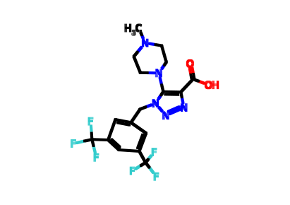 CN1CCN(c2c(C(=O)O)nnn2Cc2cc(C(F)(F)F)cc(C(F)(F)F)c2)CC1